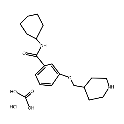 Cl.O=C(NC1CCCCC1)c1cccc(OCC2CCNCC2)c1.O=C(O)O